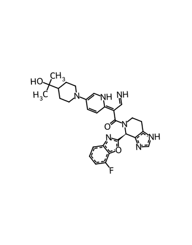 CC(C)(O)C1CCN(C2=CN/C(=C(\C=N)C(=O)N3CCc4[nH]cnc4[C@H]3c3nc4cccc(F)c4o3)C=C2)CC1